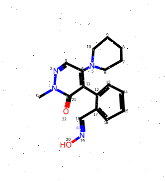 Cn1ncc(N2CCCCC2)c(-c2ccccc2/C=N/O)c1=O